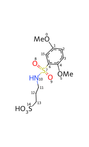 COc1ccc(OC)c(S(=O)(=O)NCCCS(=O)(=O)O)c1